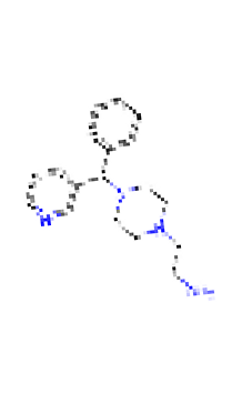 NCCN1CCN(C(c2ccccc2)c2cccnc2)CC1